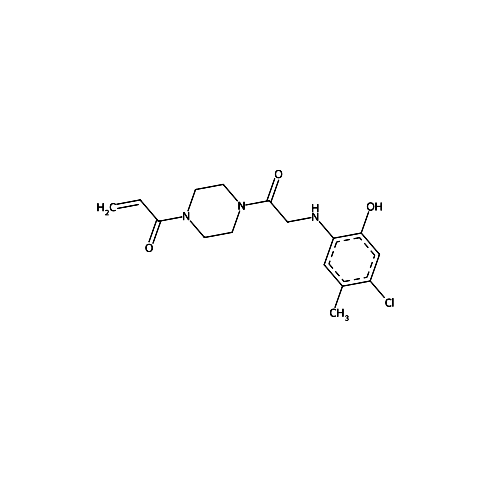 C=CC(=O)N1CCN(C(=O)CNc2cc(C)c(Cl)cc2O)CC1